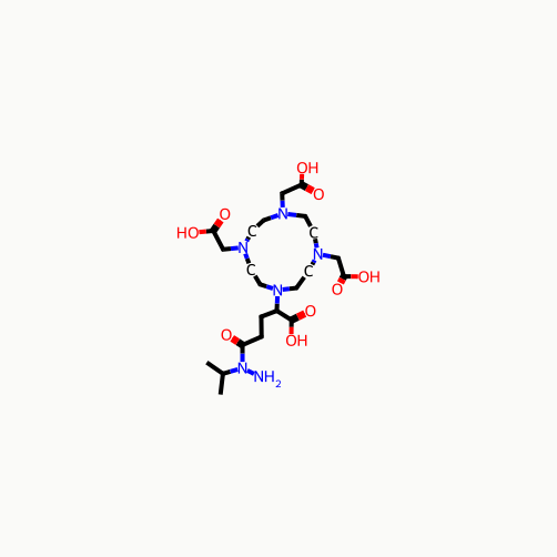 CC(C)N(N)C(=O)CCC(C(=O)O)N1CCN(CC(=O)O)CCN(CC(=O)O)CCN(CC(=O)O)CC1